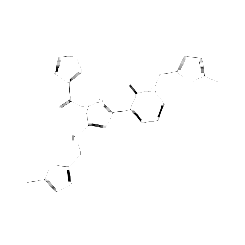 O=C(c1ccoc1)n1nc(-c2cccn(Cc3ccc(Cl)s3)c2=O)cc1NCc1ccc(Cl)s1